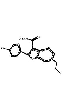 CNC(=O)c1c(-c2ccc(F)cc2)oc2cc(CCC(F)(F)F)[c]cc12